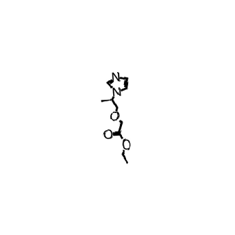 CCOC(=O)COC[C@@H](C)n1ccnc1